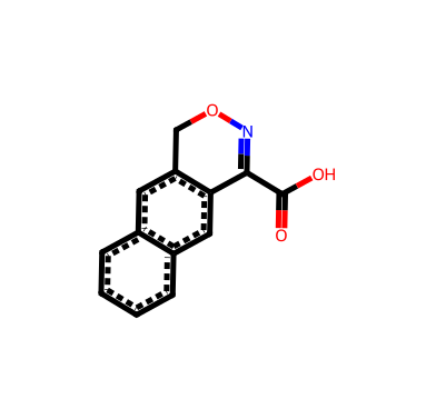 O=C(O)C1=NOCc2cc3ccccc3cc21